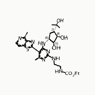 CCOC(=O)NCCNc1nc(C)c(-c2nc3c(C)nccc3s2)c(N[C@@H]2C[C@H](C(C)(C)O)[C@@H](O)[C@H]2O)n1